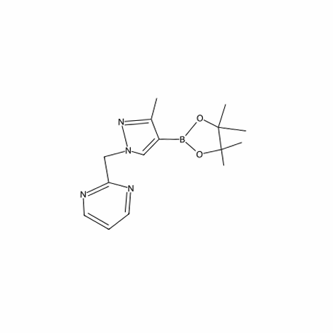 Cc1nn(Cc2ncccn2)cc1B1OC(C)(C)C(C)(C)O1